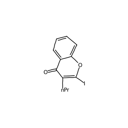 CCCc1c(I)oc2ccccc2c1=O